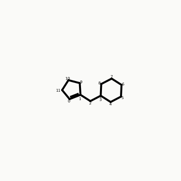 C1=C(C[C]2CCCCC2)CCC1